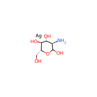 N[C@H]1C(O)O[C@H](CO)[C@@H](O)[C@@H]1O.[Ag]